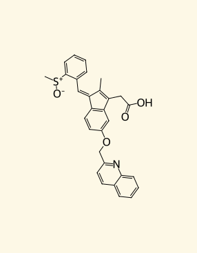 CC1=C(CC(=O)O)c2cc(OCc3ccc4ccccc4n3)ccc2C1=Cc1ccccc1[S+](C)[O-]